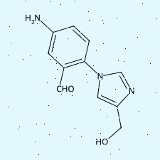 Nc1ccc(-n2cnc(CO)c2)c(C=O)c1